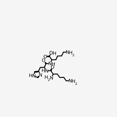 NCCCCC(N)C(=O)NC(Cc1c[nH]cn1)C(=O)NC(CCCCN)C(=O)O